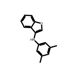 Cc1cc(C)cc(Nc2coc3ccccc23)c1